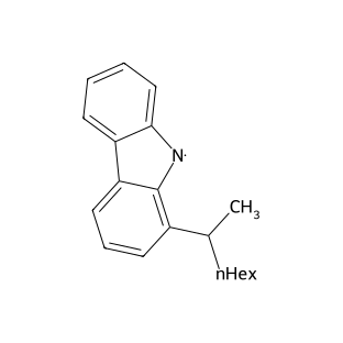 CCCCCCC(C)c1cccc2c1[N]c1ccccc1-2